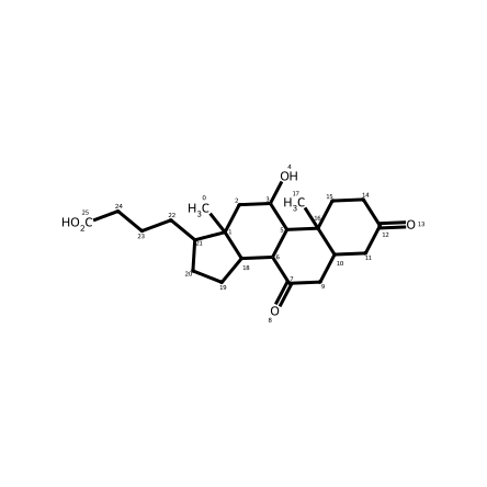 CC12CC(O)C3C(C(=O)CC4CC(=O)CCC43C)C1CCC2CCCC(=O)O